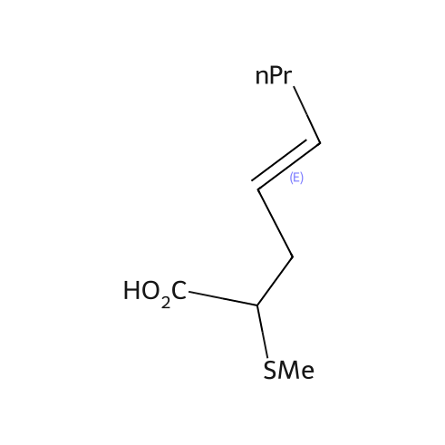 CCC/C=C/CC(SC)C(=O)O